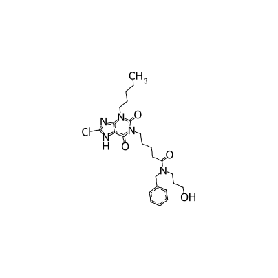 CCCCCn1c(=O)n(CCCCC(=O)N(CCCO)Cc2ccccc2)c(=O)c2[nH]c(Cl)nc21